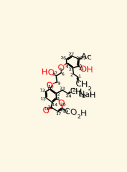 C=CCc1c(OCC(O)COc2ccc3c(=O)cc(C(=O)O)oc3c2CC=C)ccc(C(C)=O)c1O.[NaH]